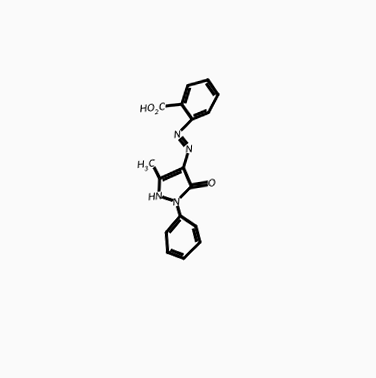 Cc1[nH]n(-c2ccccc2)c(=O)c1/N=N/c1ccccc1C(=O)O